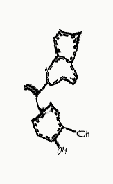 C=C(c1ccc(O)c(O)c1)c1ccc2ccccc2n1